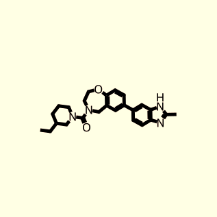 CCC1CCCN(C(=O)N2CCOc3ccc(-c4ccc5nc(C)[nH]c5c4)cc3C2)C1